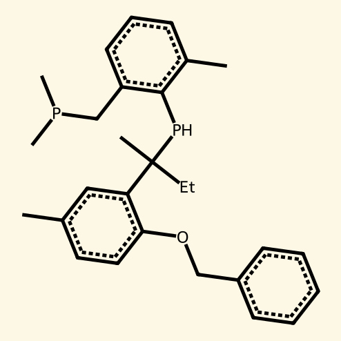 CCC(C)(Pc1c(C)cccc1CP(C)C)c1cc(C)ccc1OCc1ccccc1